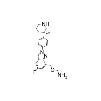 NCOCc1cc(F)cc2cn(-c3ccc([C@]4(F)CCCNC4)cc3)nc12